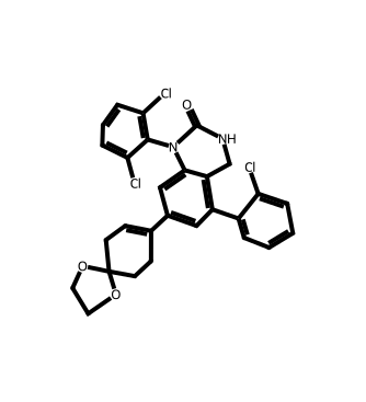 O=C1NCc2c(-c3ccccc3Cl)cc(C3=CCC4(CC3)OCCO4)cc2N1c1c(Cl)cccc1Cl